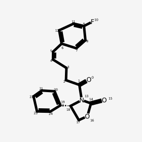 O=C(CC/C=C\c1ccc(F)cc1)N1C(=O)OC[C@@H]1c1ccccc1